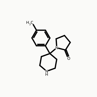 Cc1ccc(C2(N3CCCC3=O)CCNCC2)cc1